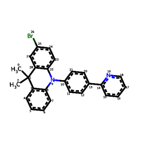 CC1(C)c2ccccc2N(c2ccc(-c3ccccn3)cc2)c2ccc(Br)cc21